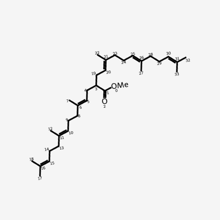 COC(=O)C(C/C=C(\C)CC/C=C(\C)CCC=C(C)C)C/C=C(\C)CC/C=C(\C)CCC=C(C)C